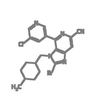 CC1CCC(Cn2c(Br)nc3cc(C#N)nc(-c4cncc(Cl)c4)c32)CC1